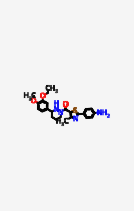 CCOc1cc(C2CCCN(C(=O)c3sc(-c4ccc(N)cc4)nc3C)N2)ccc1OC